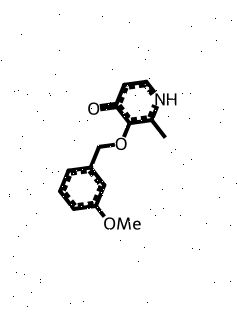 COc1cccc(COc2c(C)[nH]ccc2=O)c1